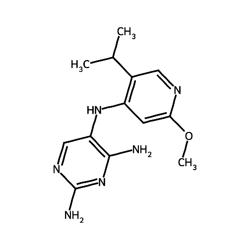 COc1cc(Nc2cnc(N)nc2N)c(C(C)C)cn1